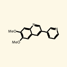 COc1cc2cc(-c3cccnc3)cnc2cc1OC